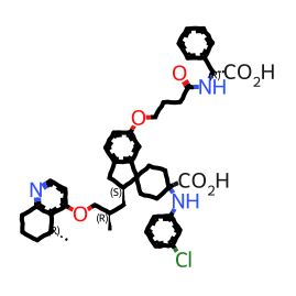 C[C@@H](COc1ccnc2c1[C@H](C)CCC2)C[C@H]1Cc2ccc(OCCCC(=O)N[C@@H](C(=O)O)c3ccccc3)cc2C12CCC(Nc1cccc(Cl)c1)(C(=O)O)CC2